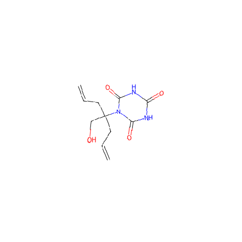 C=CCC(CO)(CC=C)n1c(=O)[nH]c(=O)[nH]c1=O